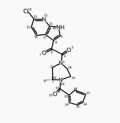 C[C@@H]1CN(C(=O)C(=O)c2c[nH]c3nc(Cl)ccc23)CCN1C(=O)c1ccccc1